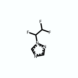 FC(F)C(F)n1cncn1